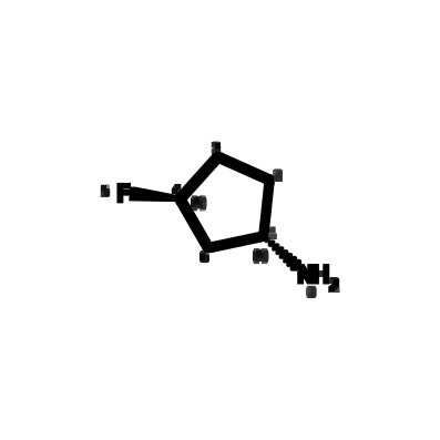 N[C@H]1CC[C@H](F)C1